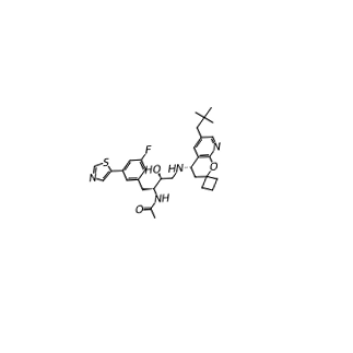 CC(=O)N[C@@H](Cc1cc(F)cc(-c2cncs2)c1)[C@@H](O)CN[C@H]1CC2(CCC2)Oc2ncc(CC(C)(C)C)cc21